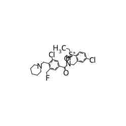 CC[S+]([O-])c1ccc(Cl)cc1CNC(=O)c1cc(Cl)c(CN2CCCCC2)c(CF)c1